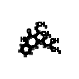 CCC(C)C1C(=O)Nc2ccccc2CN1C(=O)CC(C)O